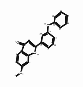 COc1ccc2c(=O)cc(-c3cccc(Oc4ccccc4)c3)oc2c1